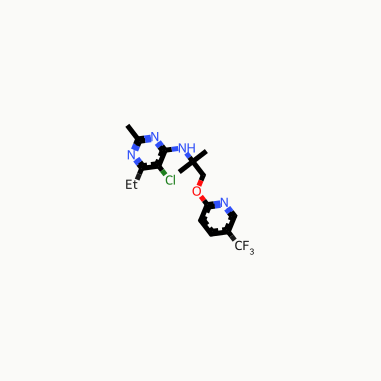 CCc1nc(C)nc(NC(C)(C)COc2ccc(C(F)(F)F)cn2)c1Cl